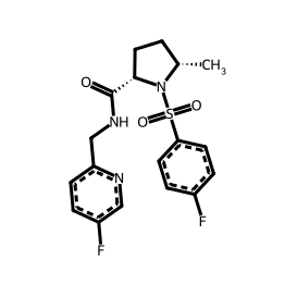 C[C@H]1CC[C@@H](C(=O)NCc2ccc(F)cn2)N1S(=O)(=O)c1ccc(F)cc1